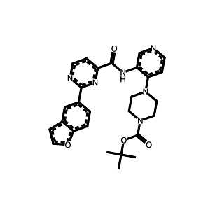 CC(C)(C)OC(=O)N1CCN(c2ccncc2NC(=O)c2ccnc(-c3ccc4occc4c3)n2)CC1